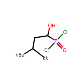 CCCCC(CC)CC(O)P(=O)(Cl)Cl